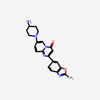 Cc1nc2ccc(-c3cc(=O)n4cc(N5CCC(N)CC5)ccc4n3)cc2o1